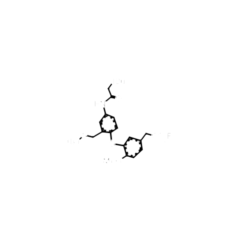 CCOC(=O)Cc1ccc(OC)c(Oc2ccc(NC(=O)CC(C)(C)C)cc2CSC(C)(C)C)c1